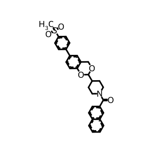 CS(=O)(=O)c1ccc(-c2ccc3c(c2)COC(C2CCN(C(=O)c4ccc5ccccc5c4)CC2)O3)cc1